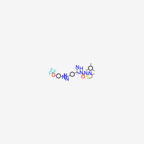 Cc1cc(C)c(N2/C(=N/C(=O)N/C=C(\C#N)c3ccc(-c4ncn(-c5ccc(OC(F)(F)F)cc5)n4)cc3)SCCC2C)c(C)c1